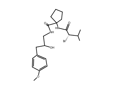 COc1ccc(CC(O)CNC(=O)C2(NC(=O)[C@@H](Br)C(C)C)CCCC2)cc1